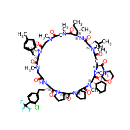 CC[C@H](C)[C@@H]1NC(=O)[C@H](CC(C)C)N(C)C(=O)C[C@@H](C(=O)N2CCOCC2)N(C)C(=O)[C@H](C2CCCCC2)N(C)C(=O)C2(CCCC2)NC(=O)[C@@H]2CCCN2C(=O)[C@H](CCc2ccc(C(F)(F)F)c(Cl)c2)NC(=O)CN(C)C(=O)[C@H](Cc2ccc(C)cc2)N(C)C(=O)CN(C)C(=O)CN(C)C1=O